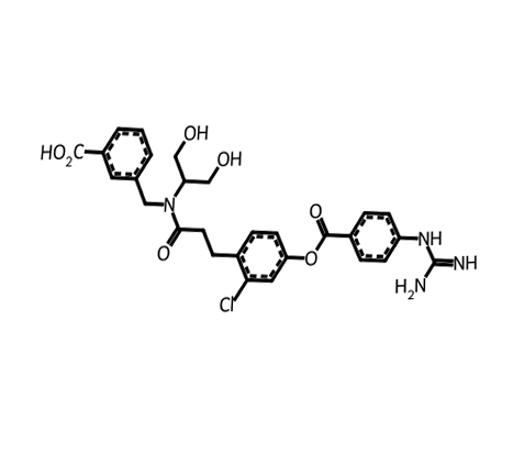 N=C(N)Nc1ccc(C(=O)Oc2ccc(CCC(=O)N(Cc3cccc(C(=O)O)c3)C(CO)CO)c(Cl)c2)cc1